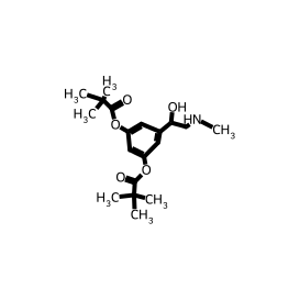 CNCC(O)c1cc(OC(=O)C(C)(C)C)cc(OC(=O)C(C)(C)C)c1